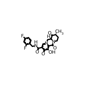 C[C@@H]1CCN2C(=O)c3c(O)c(=O)c(C(=O)NCc4ccc(F)cc4F)cn3C[C@H]2C1=O